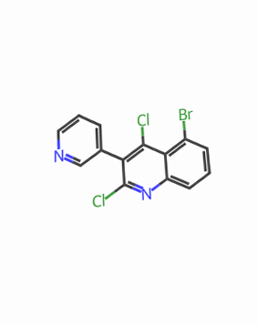 Clc1nc2cccc(Br)c2c(Cl)c1-c1cccnc1